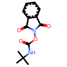 CC(C)(C)NC(=O)ON1C(=O)c2ccccc2C1=O